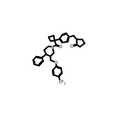 O=C1CCCC1Cc1ccc(C2(C(=O)N3CCC(c4ccccc4)C(COc4ccc(C(F)(F)F)cc4)C3)CCC2)cc1